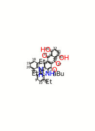 CCCCOc1c(Nc2c(CC)cccc2CC)c(Nc2c(CC)cccc2CC)cc2c1C(=O)c1c(O)ccc(O)c1C2=O